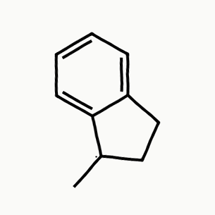 C[C]1CCc2ccccc21